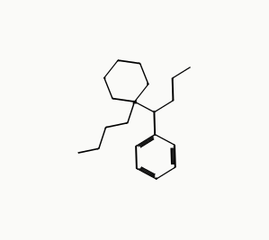 CCCCC1(C(CCC)c2ccccc2)CCCCC1